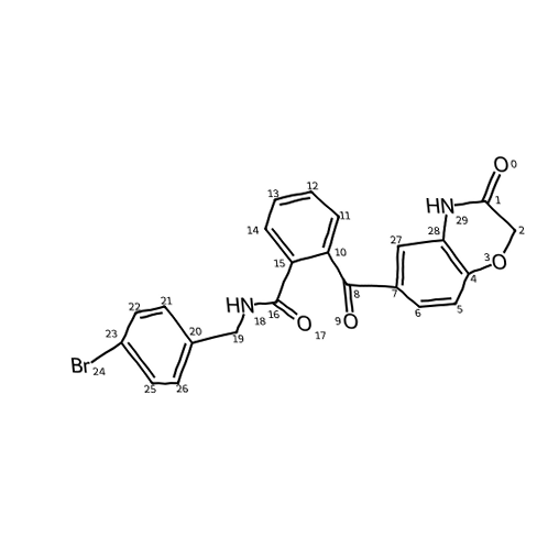 O=C1COc2ccc(C(=O)c3ccccc3C(=O)NCc3ccc(Br)cc3)cc2N1